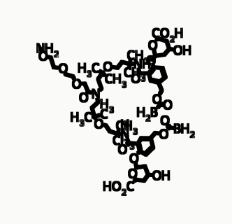 BC(=O)OCc1ccc(OC2CC(O)CC(C(=O)O)O2)c(C(=O)NC(C)(C)CCOC(C)(C)CCN(CCC(C)(C)OCCC(C)(C)NC(=O)c2cc(COC(B)=O)ccc2OC2CC(O)CC(C(=O)O)O2)C(=O)COCCOCCON)c1